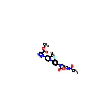 CCOC(=O)c1cnnn1C1CCN(c2ccc(N3C[C@H](CNC(C)=O)OC3=O)cc2F)C(C)C1